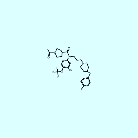 CC(=O)N1CCC(C(=O)N(CCCN2CCC(Cc3ccc(F)cc3)CC2)c2ccc(OC(F)(F)F)c(Br)c2)CC1